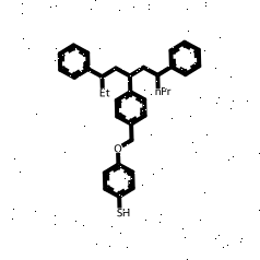 CCCC(CC(CC(CC)c1ccccc1)c1ccc(COc2ccc(S)cc2)cc1)c1ccccc1